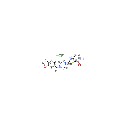 C[C@@H](c1ccc2c(c1)OCC2)N1CCN(c2nc3c(s2)C(=O)NCC3)CC1.Cl